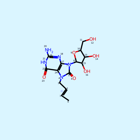 C/C=C/Cn1c(=O)n(C2OC(CO)C(O)C2O)c2nc(N)[nH]c(=O)c21